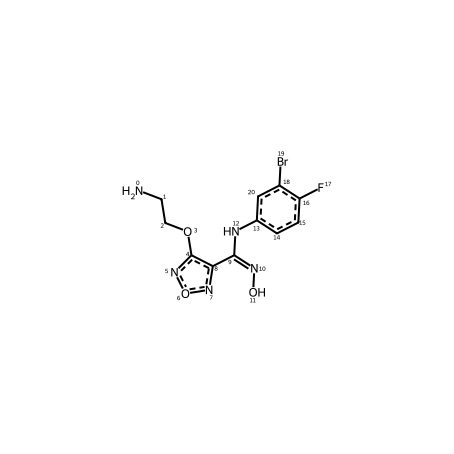 NCCOc1nonc1/C(=N\O)Nc1ccc(F)c(Br)c1